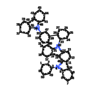 c1ccc(-n2c3ccccc3c3ccc4c(c5ccccc5n4-c4ccccc4-c4cccc(-n5c6ccccc6c6ccccc65)c4)c32)cc1